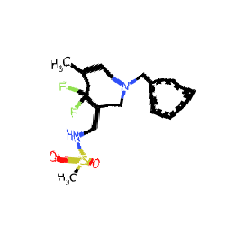 CC1CN(Cc2ccccc2)CC(CNS(C)(=O)=O)C1(F)F